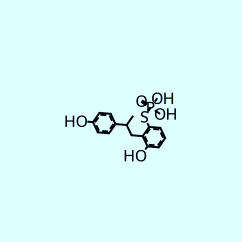 CC(Cc1c(O)cccc1SP(=O)(O)O)c1ccc(O)cc1